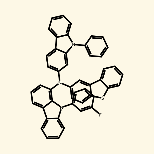 Fc1cccc(-n2c3ccccc3c3cccc(N(c4ccc5sc6ccccc6c5c4)c4ccc5c6ccccc6n(-c6ccccc6)c5c4)c32)c1